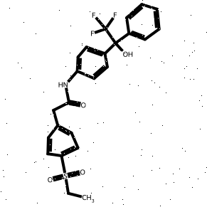 CCS(=O)(=O)c1ccc(CC(=O)Nc2ccc(C(O)(c3ccccc3)C(F)(F)F)cc2)cc1